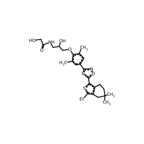 CCc1sc(-c2nc(-c3cc(C)c(OCC(O)CNC(=O)CO)c(C)c3)no2)c2c1CC(C)(C)CC2